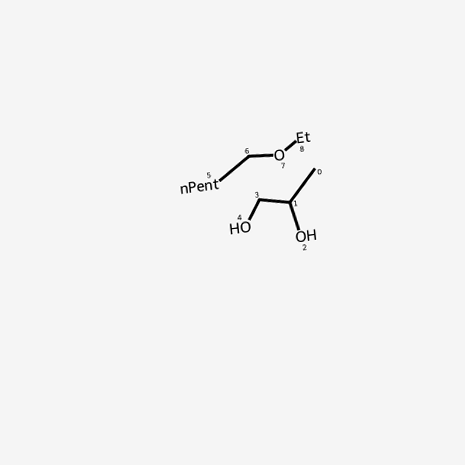 CC(O)CO.CCCCCCOCC